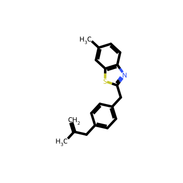 C=C(C)Cc1ccc(Cc2nc3ccc(C)cc3s2)cc1